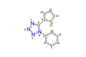 c1ccc(-n2nnnc2-c2cccs2)cc1